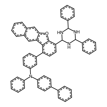 c1ccc(-c2ccc(N(c3ccccc3)c3cccc(-c4ccc(C5NC(c6ccccc6)NC(c6ccccc6)N5)c5oc6cc7ccccc7cc6c45)c3)cc2)cc1